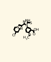 COc1ccc(-n2c(-c3cn4ccc(Cl)cc4n3)n[nH]c2=S)cc1C(=O)O